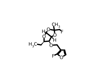 CC[C@H]1O[C@@H]2OC(C)(CF)O[C@@H]2[C@H]1OCc1ccoc1F